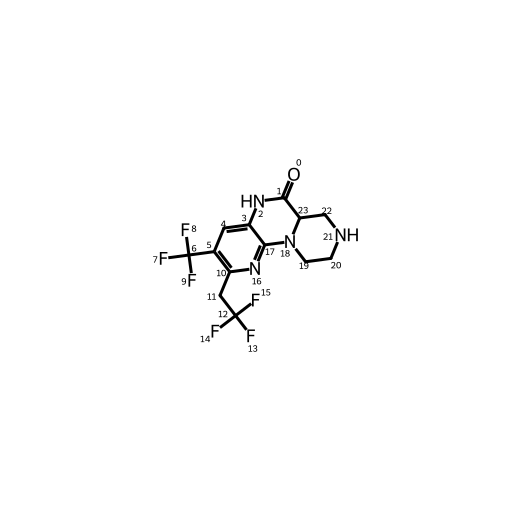 O=C1Nc2cc(C(F)(F)F)c(CC(F)(F)F)nc2N2CCNCC12